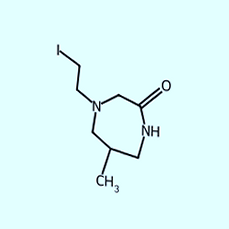 CC1CNC(=O)CN(CCI)C1